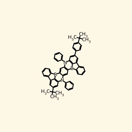 CC(C)(C)c1ccc(-c2cc3c4c(c2)N(c2ccccc2)c2cc5c(cc2B4c2ccccc2-3)N(c2ccccc2)c2cc(C(C)(C)C)cc3c2B5c2ccccc2-3)cc1